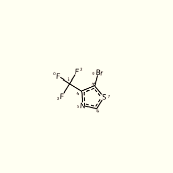 FC(F)(F)c1ncsc1Br